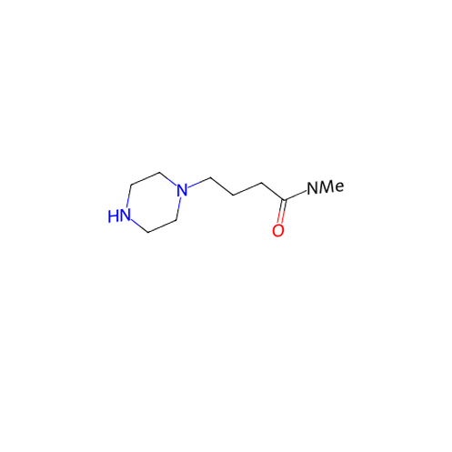 CNC(=O)CCCN1CCNCC1